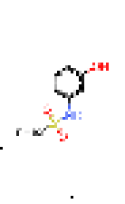 CCCCCCS(=O)(=O)Nc1cccc(O)c1